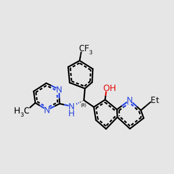 CCc1ccc2ccc([C@H](Nc3nccc(C)n3)c3ccc(C(F)(F)F)cc3)c(O)c2n1